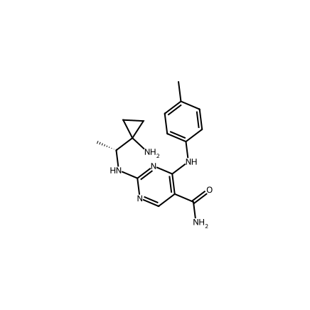 Cc1ccc(Nc2nc(N[C@H](C)C3(N)CC3)ncc2C(N)=O)cc1